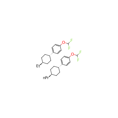 CCC[C@H]1CC[C@H](c2ccc(OC(F)F)cc2)CC1.CC[C@H]1CC[C@H](c2ccc(OC(F)F)cc2)CC1